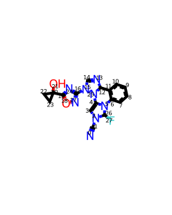 N#CN1C=C2N(c3ccccc3C3N=CN(c4noc(C5(O)CC5)n4)N23)C1F